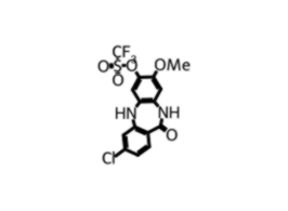 COc1cc2c(cc1OS(=O)(=O)C(F)(F)F)Nc1cc(Cl)ccc1C(=O)N2